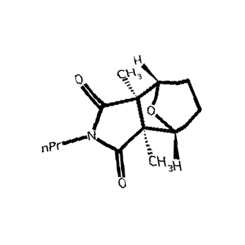 CCCN1C(=O)[C@@]2(C)[C@@H]3CC[C@@H](O3)[C@@]2(C)C1=O